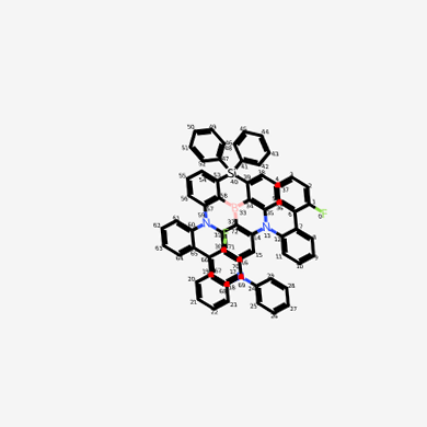 Fc1ccccc1-c1ccccc1N1c2cc(N(c3ccccc3)c3ccccc3)cc3c2B2c4c1cccc4[Si](c1ccccc1)(c1ccccc1)c1cccc(c12)N3c1ccccc1-c1ccccc1F